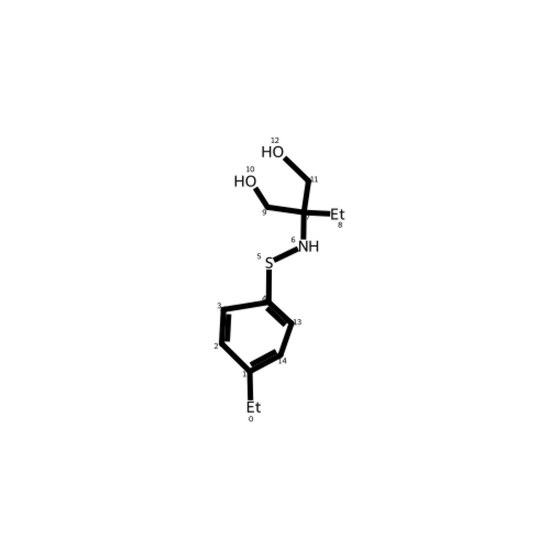 CCc1ccc(SNC(CC)(CO)CO)cc1